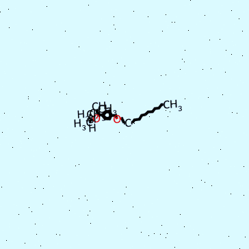 CCCCCCCCCCC=C=CCOCc1ccc([C@@H](O[SiH](C)C)C(C)(C)C)cc1